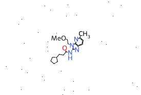 COCCn1c(NC(=O)CCC2CCCC2)nc2ccc(C)nc21